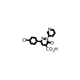 O=C(O)c1cc(-c2ccc(Cl)cc2)nn(-c2cccnc2)c1=O